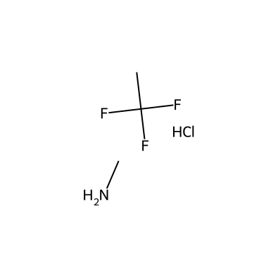 CC(F)(F)F.CN.Cl